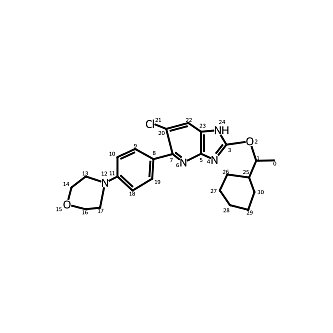 CC(Oc1nc2nc(-c3ccc(N4CCOCC4)cc3)c(Cl)cc2[nH]1)C1CCCCC1